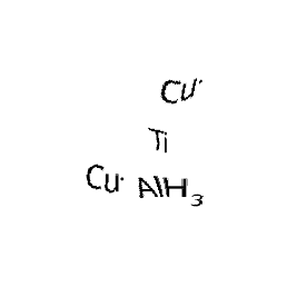 [AlH3].[Cu].[Cu].[Ti]